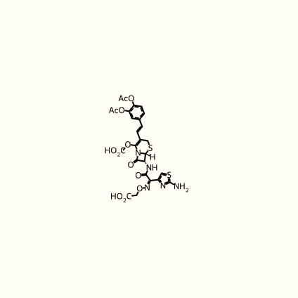 CC(=O)Oc1ccc(C=CC2=C(OC(=O)O)N3C(=O)[C@@H](NC(=O)/C(=N\OCC(=O)O)c4csc(N)n4)[C@H]3SC2)cc1OC(C)=O